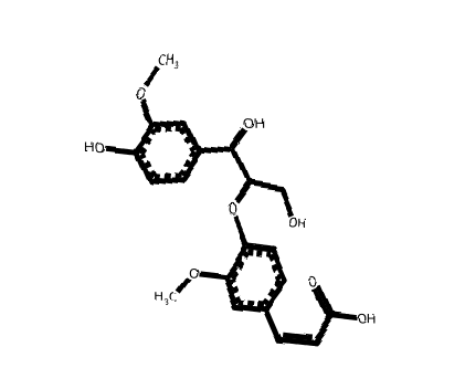 COc1cc(C(O)C(CO)Oc2ccc(/C=C\C(=O)O)cc2OC)ccc1O